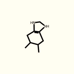 CC1CC2=C(CC1C)NCN2